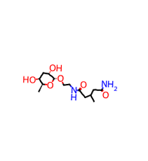 CC(CC(N)=O)CC(=O)NCCO[C@@H]1O[C@@H](C)[C@@H](O)C[C@@H]1O